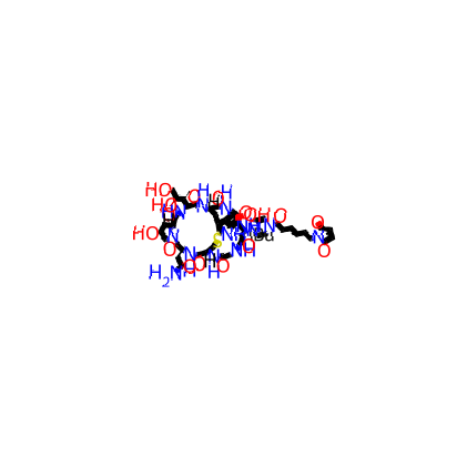 CC[C@H](C)[C@@H]1NC(=O)CNC(=O)[C@H]2Cc3c([nH]c4c(CN5CCN(C(=O)CCCCCN6C(=O)C=CC6=O)CC5)c(O)ccc34)SC[C@H](NC(=O)CNC1=O)C(=O)N[C@@H](CC(N)=O)C(=O)N1C[C@H](O)C[C@H]1C(=O)N[C@@H]([C@@H](C)[C@@H](O)CO)C(=O)N2